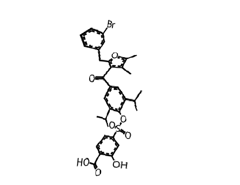 Cc1oc(Cc2cccc(Br)c2)c(C(=O)c2cc(C(C)C)c(OS(=O)(=O)c3ccc(C(=O)O)c(O)c3)c(C(C)C)c2)c1C